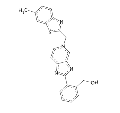 Cc1ccc2nc(Cn3ccc4nc(-c5ccccc5CO)nc-4c3)sc2c1